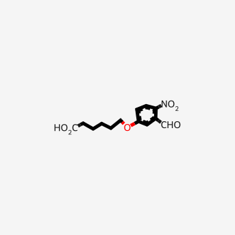 O=Cc1cc(OCCCCCC(=O)O)ccc1[N+](=O)[O-]